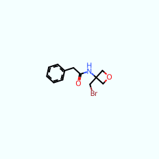 O=C(Cc1ccccc1)NC1(CBr)COC1